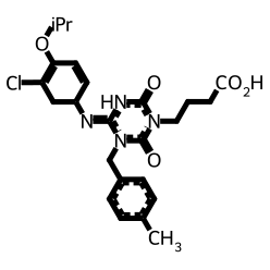 Cc1ccc(Cn2c(=O)n(CCCC(=O)O)c(=O)[nH]/c2=N\C2C=CC(OC(C)C)=C(Cl)C2)cc1